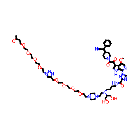 COc1cnc(-n2cnc(C(=O)NCCCCN(CCN3CCN(CCOCCOCCOCCOCc4cn(CCOCCOCCOCCOCCC(C)=O)nn4)CC3)C(CO)CO)n2)c2[nH]cc(C(=O)C(=O)N3CCC(=C(C#N)c4ccccc4)CC3)c12